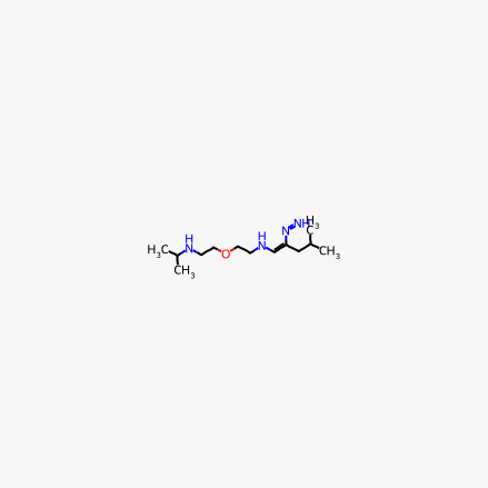 CC(C)C/C(=C/NCCOCCNC(C)C)N=N